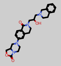 O=C1c2ccc(N3CCN4C(=O)OCC4C3)cc2CCN1CC(O)CN1CCc2ccccc2C1